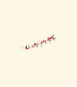 CC(=O)N(O)CCCCCNC(=O)CCC(=O)N(O)CCCCCCNC(=O)CCC(=O)N(O)CCCCCNC(=S)Nc1ccc(N=C=S)cc1